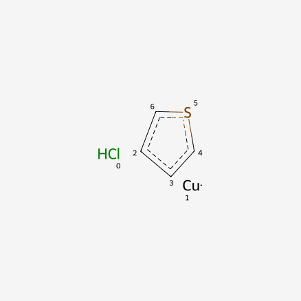 Cl.[Cu].c1ccsc1